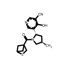 C[C@@H]1C[C@@H](c2cncc(C#N)c2O)N(C(=O)C23CSC(C2)C3)C1